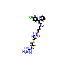 CN(CCCCNC(=O)NCCSCc1csc(NC(=N)N)n1)CCC(c1ccc(Cl)cc1)c1ccccn1